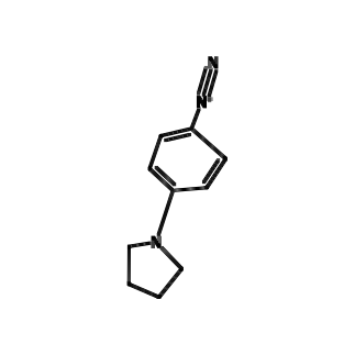 N#[N+]c1ccc(N2CCCC2)cc1